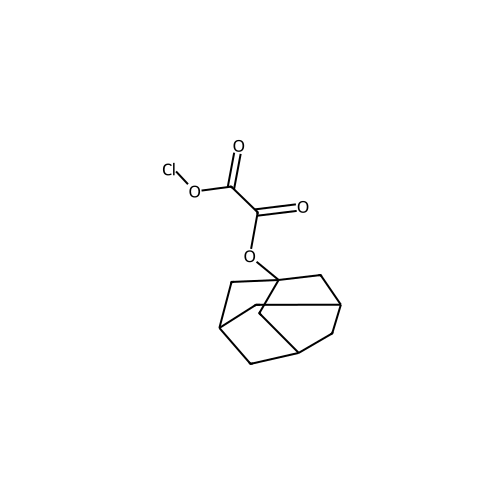 O=C(OCl)C(=O)OC12CC3CC(CC(C3)C1)C2